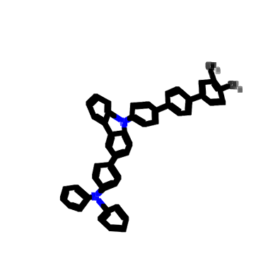 FC(F)(F)c1ccc(-c2ccc(-c3ccc(-n4c5ccccc5c5cc(-c6ccc(N(c7ccccc7)c7ccccc7)cc6)ccc54)cc3)cc2)cc1C(F)(F)F